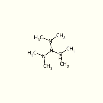 CN(C)N(N(C)C)[SiH](C)C